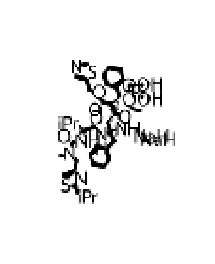 CC(O[C@@H](C[C@](N)(Cc1ccccc1)NC(=O)[C@@H](NC(=O)N(C)Cc1csc(C(C)C)n1)C(C)C)[C@H](Cc1ccccc1)C(=O)OCc1cncs1)OP(=O)(O)O.[NaH].[NaH]